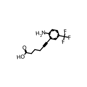 Nc1ccc(C(F)(F)F)cc1C#CCCCC(=O)O